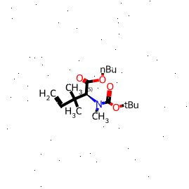 C=CC(C)(C)[C@@H](C(=O)OCCCC)N(C)C(=O)OC(C)(C)C